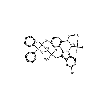 COC(C)c1ncccc1-c1c(CC(C)(C)CO[Si](c2ccccc2)(c2ccccc2)C(C)(C)C)c2cc(Br)ccc2n1CC(F)(F)F